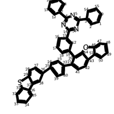 c1ccc(-c2nc(-c3ccccc3)nc(-c3cccc(-c4c(-c5ccc(-c6ccc7sc8ccccc8c7c6)cc5)ccc5c4oc4ccccc45)c3)n2)cc1